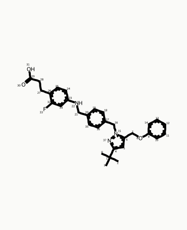 CC(C)(C)c1cc(COc2ccccc2)n(Cc2ccc(CNc3ccc(CCC(=O)O)c(F)c3)cc2)n1